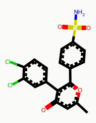 Cc1cc(=O)c(-c2ccc(Cl)c(Cl)c2)c(-c2ccc(S(N)(=O)=O)cc2)o1